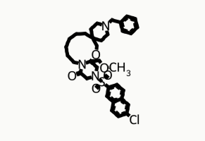 COCC12CN(S(=O)(=O)c3ccc4cc(Cl)ccc4c3)CC(=O)N1CCCCCCC1(CCN(Cc3ccccc3)CC1)CO2